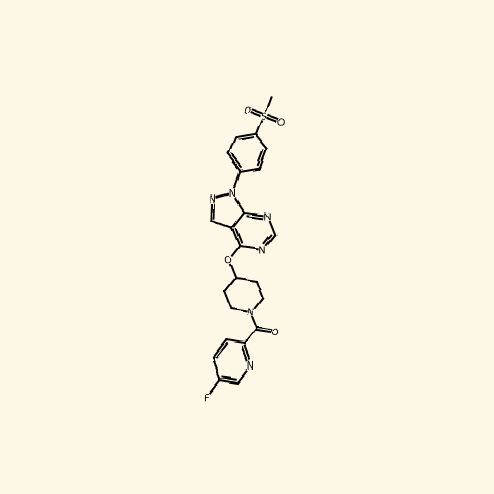 CS(=O)(=O)c1ccc(-n2ncc3c(OC4CCN(C(=O)c5ccc(F)cn5)CC4)ncnc32)cc1